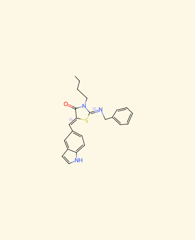 CCCCN1C(=O)/C(=C/c2ccc3[nH]ccc3c2)S/C1=N\Cc1ccccc1